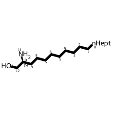 CCCCCCCCCCCCCCCC[C@H](N)CO